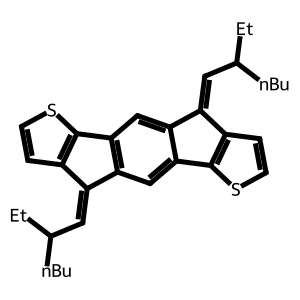 CCCCC(C=C1c2cc3c(cc2-c2sccc21)C(=CC(CC)CCCC)c1ccsc1-3)CC